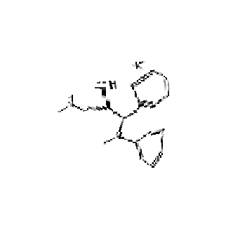 CNCC(O)C(c1ccccc1)N(C)c1ccccc1.Cl